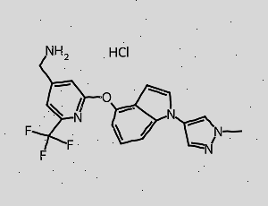 Cl.Cn1cc(-n2ccc3c(Oc4cc(CN)cc(C(F)(F)F)n4)cccc32)cn1